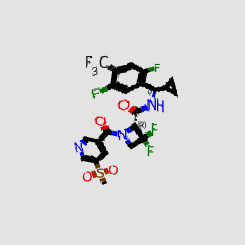 CS(=O)(=O)c1cncc(C(=O)N2CC(F)(F)[C@H]2C(=O)N[C@@H](c2cc(F)c(C(F)(F)F)cc2F)C2CC2)c1